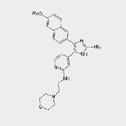 COc1ccc2cc(-c3nc(C(C)(C)C)[nH]c3-c3ccnc(NCCN4CCOCC4)c3)ccc2c1